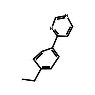 CCc1ccc(-c2ccncn2)cc1